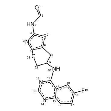 O=CNc1nc2c(s1)CC(Nc1ncnc3ccc(F)cc13)CC2